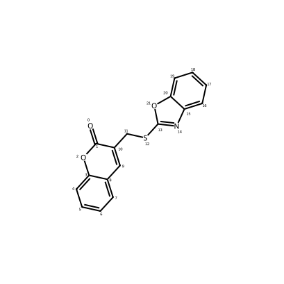 O=c1oc2ccccc2cc1CSc1nc2ccccc2o1